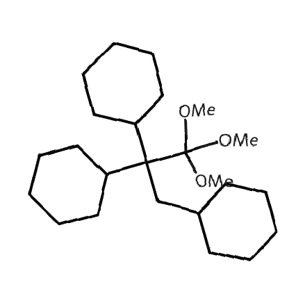 COC(OC)(OC)C(CC1CCCCC1)(C1CCCCC1)C1CCCCC1